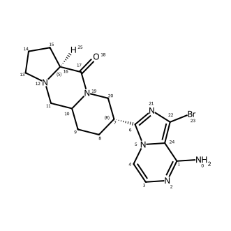 Nc1nccn2c([C@@H]3CCC4CN5CCC[C@H]5C(=O)N4C3)nc(Br)c12